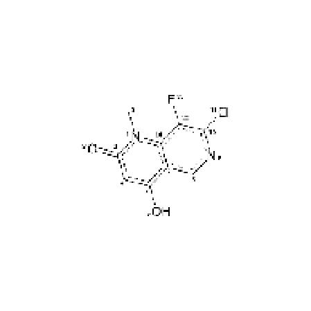 Cn1c(=O)cc(O)c2cnc(Cl)c(F)c21